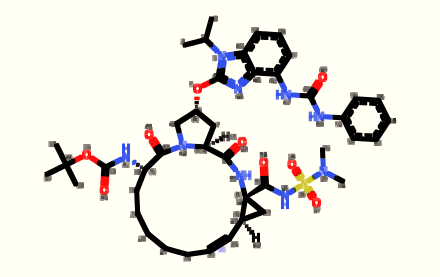 CC(C)n1c(O[C@@H]2C[C@H]3C(=O)N[C@]4(C(=O)NS(=O)(=O)N(C)C)C[C@H]4/C=C\CCCCC[C@H](NC(=O)OC(C)(C)C)C(=O)N3C2)nc2c(NC(=O)Nc3ccccc3)cccc21